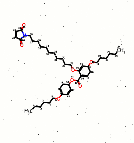 CCCCCCOC1=CCC(OC(=O)C2=CCC(OCCCCCC)C=C2OCCCCCCCCCCCN2C(=O)C=CC2=O)C=C1